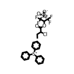 CCC(Cl)C(=O)OC(C(F)(F)F)C(F)(F)S(=O)(=O)[O-].c1ccc([S+](c2ccccc2)c2ccccc2)cc1